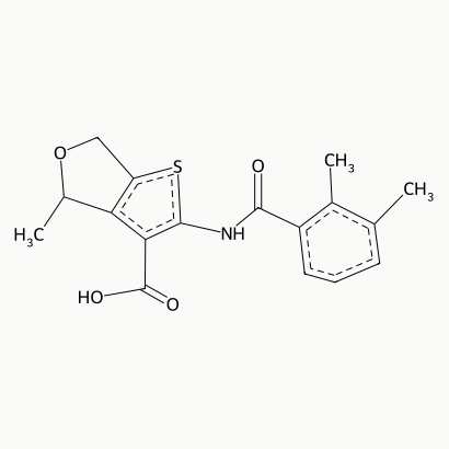 Cc1cccc(C(=O)Nc2sc3c(c2C(=O)O)C(C)OC3)c1C